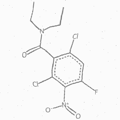 CCN(CC)C(=O)c1c(Cl)cc(F)c([N+](=O)[O-])c1Cl